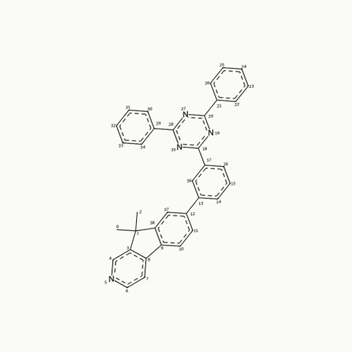 CC1(C)c2cnccc2-c2ccc(-c3cccc(-c4nc(-c5ccccc5)nc(-c5ccccc5)n4)c3)cc21